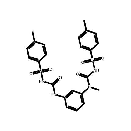 Cc1ccc(S(=O)(=O)NC(=O)Nc2cccc(N(C)C(=O)NS(=O)(=O)c3ccc(C)cc3)c2)cc1